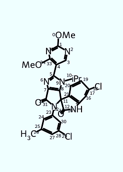 COc1ncc(-c2nc3c(n2C(C)C)C2(C(=O)Nc4cc(Cl)ccc42)N(c2cc(C)cc(Cl)c2)C3=O)c(OC)n1